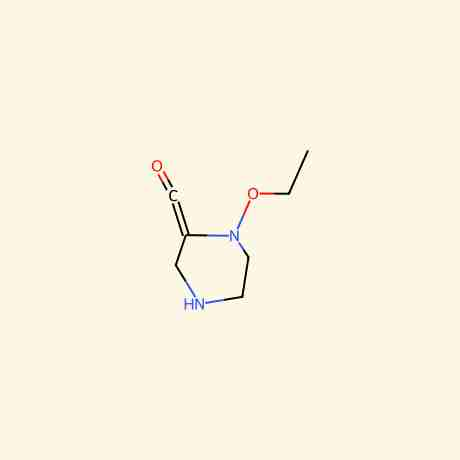 CCON1CCNCC1=C=O